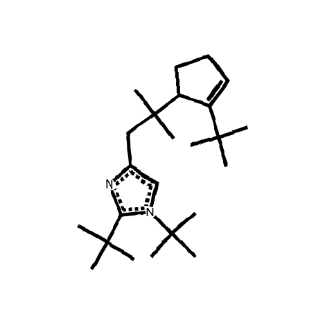 CC(C)(C)C1=CCCC1C(C)(C)Cc1cn(C(C)(C)C)c(C(C)(C)C)n1